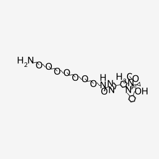 CC(=O)N1c2ccc(-c3cnc(C(=O)NCCOCCOCCOCCOCCOCCOCCOCCN)nc3)cc2N(Cc2ccccc2CO)C[C@@H]1C1CC1